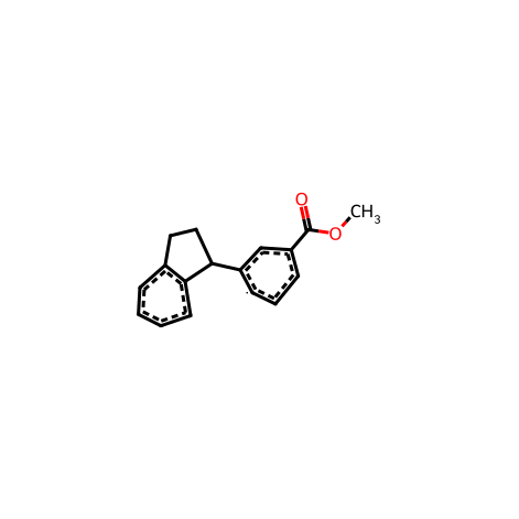 COC(=O)c1cc[c]c(C2CCc3ccccc32)c1